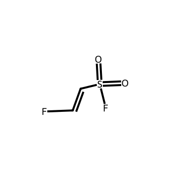 O=S(=O)(F)C=CF